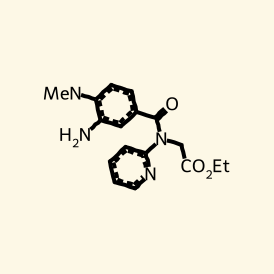 CCOC(=O)CN(C(=O)c1ccc(NC)c(N)c1)c1ccccn1